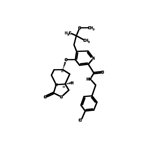 COC(C)(C)Cc1cnc(C(=O)NCc2ccc(Cl)cc2)cc1O[C@H]1CCN2C(=O)OC[C@@H]2C1